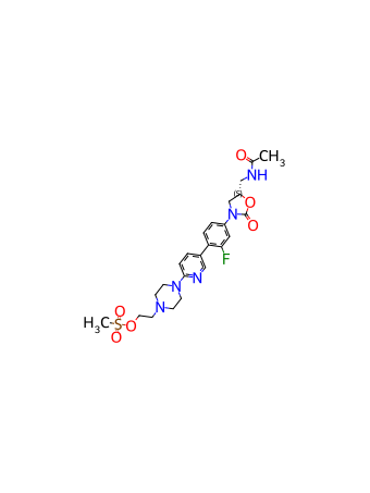 CC(=O)NC[C@H]1CN(c2ccc(-c3ccc(N4CCN(CCOS(C)(=O)=O)CC4)nc3)c(F)c2)C(=O)O1